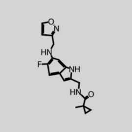 CC1(C(=O)NCc2cc3cc(F)c(NCc4ccon4)cc3[nH]2)CC1